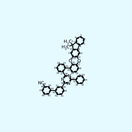 CC1(C)c2ccccc2-c2cc3c(cc21)Oc1c(cccc1-c1ccccc1-c1nc(-c2ccccc2)nc(-c2cccc(-c4cccc(C#N)c4)c2)n1)O3